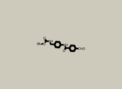 CC(C)(C)OC(=O)NCc1ccc(NC(=O)c2ccc(C=O)cc2)cc1